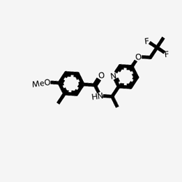 COc1ccc(C(=O)NC(C)c2ccc(OCC(C)(F)F)cn2)cc1C